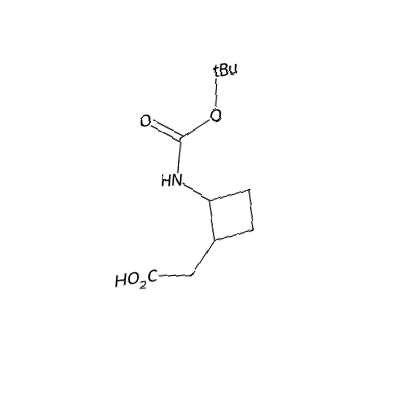 CC(C)(C)OC(=O)NC1CCC1CC(=O)O